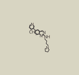 Cc1ccncc1-c1ccc2nc(NCCCCN3CCCC3)ncc2c1